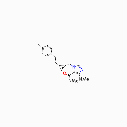 CNC(=O)c1c(NC)ncn1CC1=CC1CCc1ccc(C)cc1